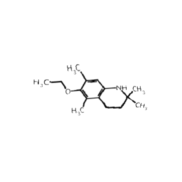 CCOc1c(C)cc2c(c1C)CCC(C)(C)N2